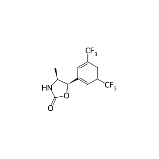 C[C@@H]1NC(=O)O[C@@H]1C1=CC(C(F)(F)F)CC(C(F)(F)F)=C1